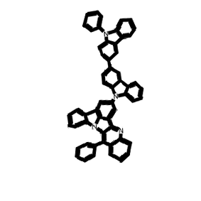 c1ccc(-c2c3ccccc3nc3c4cc(-n5c6ccccc6c6cc(-c7ccc8c(c7)c7ccccc7n8-c7ccccc7)ccc65)cc5c6ccccc6n(c23)c54)cc1